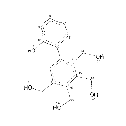 OCc1cc(-c2ccccc2O)c(CO)c(CO)c1CO